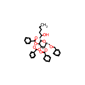 C=CCCC(O)C[C@@H]1O[C@H](COCc2ccccc2)[C@H](OC(=O)c2ccccc2)[C@H](OC(=O)c2ccccc2)[C@H]1OC(=O)c1ccccc1